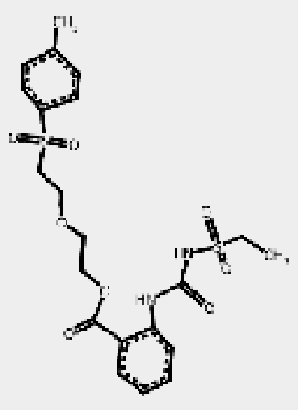 CCS(=O)(=O)NC(=O)Nc1ccccc1C(=O)OCCOCCS(=O)(=O)c1ccc(C)cc1